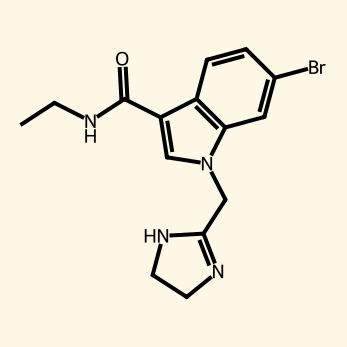 CCNC(=O)c1cn(CC2=NCCN2)c2cc(Br)ccc12